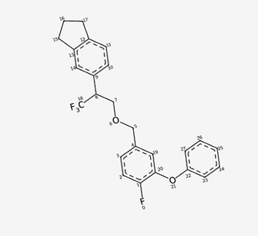 Fc1ccc(COCC(c2ccc3c(c2)CCC3)C(F)(F)F)cc1Oc1ccccc1